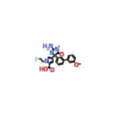 COc1cccc(-c2cccc(C3(c4cc(C(=O)O)n(CCF)c4)N=C(N)N(C)C3=O)c2)c1